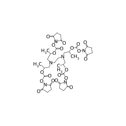 CC(CN(CCN(CC(C)OC(=O)ON1C(=O)CCC1=O)CC(C)OC(=O)ON1C(=O)CCC1=O)CC(C)OC(=O)ON1C(=O)CCC1=O)OC(=O)ON1C(=O)CCC1=O